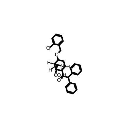 O=C(O)[C@@H]1[C@@H]2CC[C@@H](CC2OCc2ccccc2Cl)N1C(=O)C(c1ccccc1)c1ccccc1